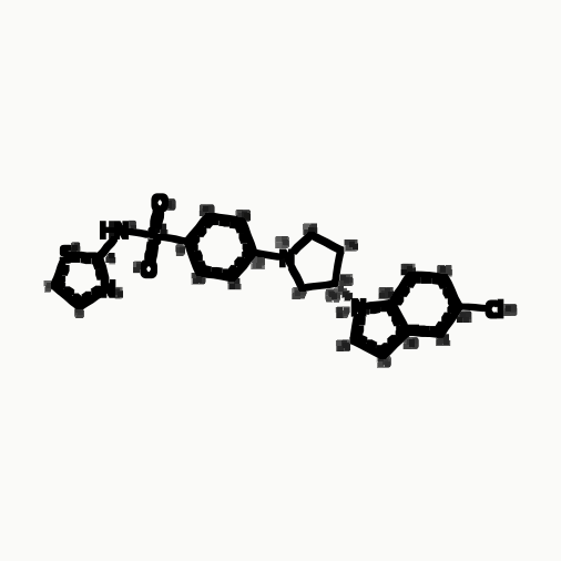 O=S(=O)(Nc1nccs1)c1ccc(N2CC[C@H](n3ccc4cc(Cl)ccc43)C2)cc1